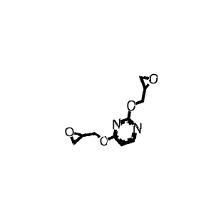 c1cc(OCC2CO2)nc(OCC2CO2)n1